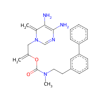 C=C(CN1C=NC(N)=C(N)C1=C)OC(=O)N(C)CCc1cccc(-c2ccccc2)c1